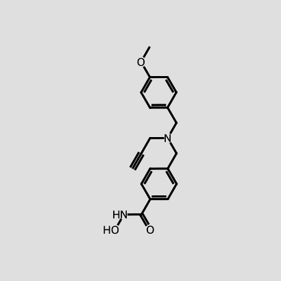 C#CCN(Cc1ccc(OC)cc1)Cc1ccc(C(=O)NO)cc1